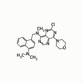 CN(C)c1ccc(CN(C)c2ncnc3c(N4CCOCC4)nc(Cl)nc23)c2ccccc12